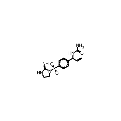 C=CC(NC(N)=O)c1ccc(S(=O)(=O)N2CCNC2=N)cc1